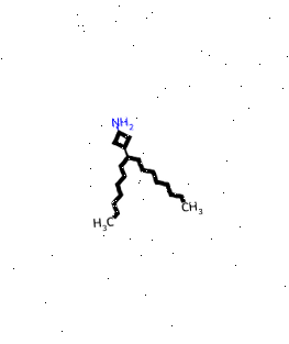 CCCCCCCCC(CCCCCCC)[C@H]1C[C@H](N)C1